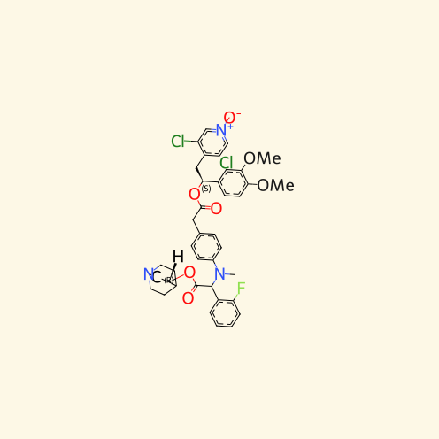 COc1ccc([C@H](Cc2c(Cl)c[n+]([O-])cc2Cl)OC(=O)Cc2ccc(N(C)C(C(=O)O[C@H]3CN4CCC3CC4)c3ccccc3F)cc2)cc1OC